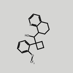 OC(C1CCCc2cccnc21)C1(c2ccccc2OC(F)(F)F)CCC1